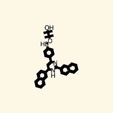 CC(C)(O)C(C)(C)OBc1ccc(C2=CC(c3ccc4ccccc4c3)NC(c3ccc4ccccc4c3)=N2)cc1